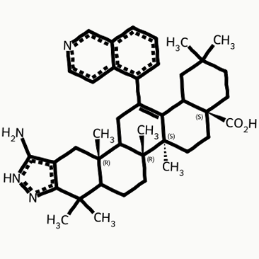 CC1(C)CC[C@]2(C(=O)O)CC[C@]3(C)C(=C(c4cccc5cnccc45)CC4[C@@]5(C)Cc6c(n[nH]c6N)C(C)(C)C5CC[C@]43C)C2C1